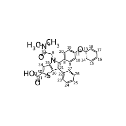 CN(C)C(=O)Cn1c(-c2ccc(Oc3ccccc3)cc2)c(-c2ccccc2)c2sc(C(=O)O)cc21